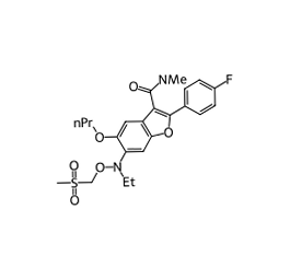 CCCOc1cc2c(C(=O)NC)c(-c3ccc(F)cc3)oc2cc1N(CC)OCS(C)(=O)=O